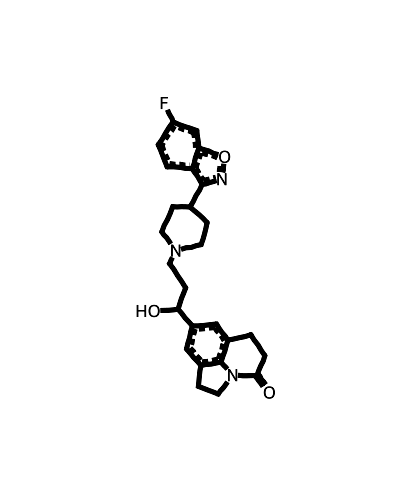 O=C1CCc2cc(C(O)CCN3CCC(c4noc5cc(F)ccc45)CC3)cc3c2N1CC3